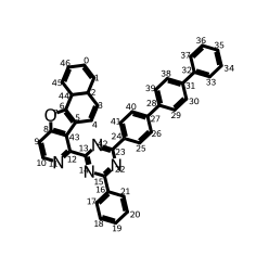 C1=CC2C=Cc3c(oc4ccnc(-c5nc(-c6ccccc6)nc(-c6ccc(-c7ccc(-c8ccccc8)cc7)cc6)n5)c34)C2C=C1